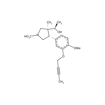 CC#CCOc1cc([C@@H]2CN(C(=O)O)C[C@@]2(C)[C@@H](C)O)ccc1OC